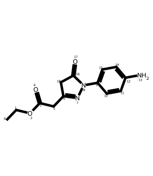 CCOC(=O)CC1=NN(c2ccc(N)cc2)C(=O)C1